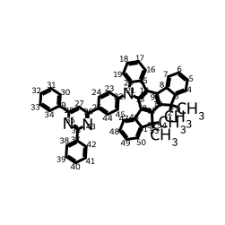 CC1(C)c2ccccc2-c2c1c1c(c3c2c2ccccc2n3-c2ccc(-c3cc(-c4ccccc4)nc(-c4ccccc4)n3)cc2)-c2ccccc2C1(C)C